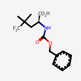 CC(C)(C[C@H](NC(=O)OCc1ccccc1)C(=O)O)C(F)(F)F